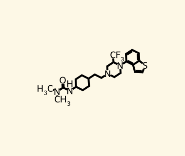 CN(C)C(=O)NC1CCC(CCN2CCN(c3cccc4sccc34)C(C(F)(F)F)C2)CC1